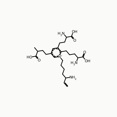 C=CC(N)CCCC[n+]1cc(CCC(C)C(=O)O)cc(CCC(N)C(=O)O)c1CCCC(N)C(=O)O